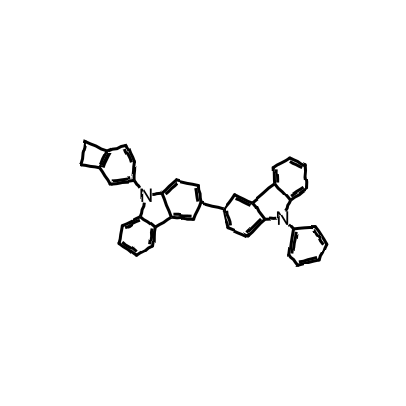 c1ccc(-n2c3ccccc3c3cc(-c4ccc5c(c4)c4ccccc4n5-c4ccc5c(c4)CC5)ccc32)cc1